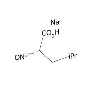 CC(C)C[C@H](N=O)C(=O)O.[Na]